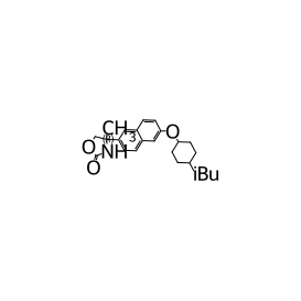 CCC(C)C1CCC(Oc2ccc3cc([C@]4(C)COC(=O)N4)ccc3c2)CC1